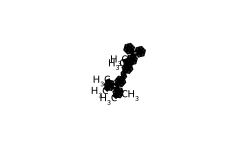 Cc1cc(C)cc(N(c2ccc(/C=C/c3ccc4c(c3)C(C)(C)c3cc(N(c5ccccc5)c5ccccc5)ccc3-4)cc2)c2cc(C)cc(C)c2)c1